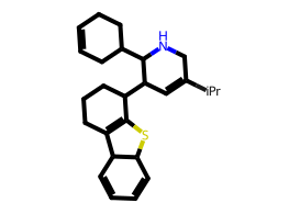 CC(C)C1=CC(C2CCCC3=C2SC2C=CC=CC32)C(C2CC=CCC2)NC1